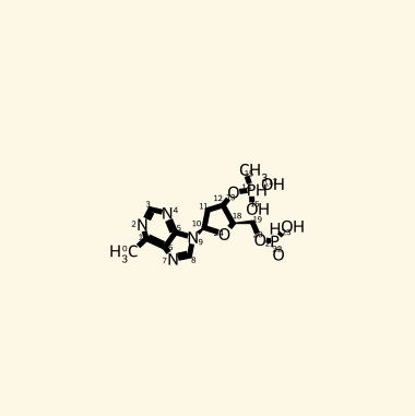 Cc1ncnc2c1ncn2[C@H]1CC(O[PH](C)(O)O)[C@@H](CO[PH](=O)O)O1